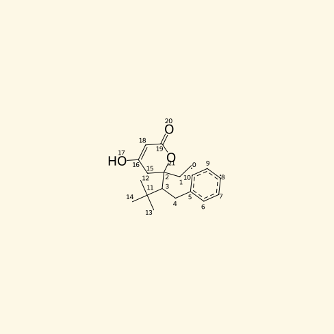 [CH2]CC1(C(Cc2cc[c]cc2)C(C)(C)C)CC(O)=CC(=O)O1